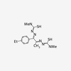 CCc1ccc(C(=N\N=C(/S)NC)/C(C)=N/N=C(\S)NC)cc1